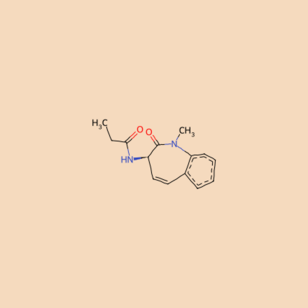 CCC(=O)N[C@@H]1C=Cc2ccccc2N(C)C1=O